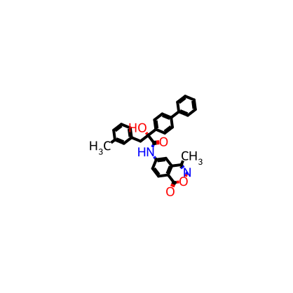 Cc1cccc(CC(O)(C(=O)Nc2ccc3c(=O)onc(C)c3c2)c2ccc(-c3ccccc3)cc2)c1